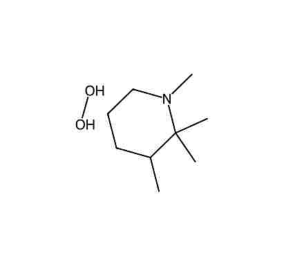 CC1CCCN(C)C1(C)C.OO